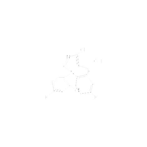 OCC1=C(Cl)N=C[N+]1(c1ccc(F)cc1F)c1ccc(F)cc1Cl